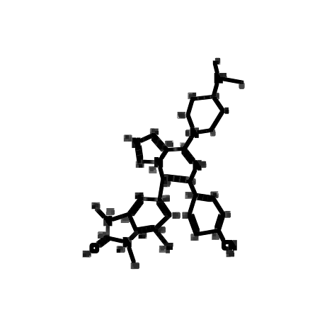 CN(C)C1CCN(c2nc(-c3ccc(C#N)cc3)c(-c3cc(F)c4c(c3)n(C)c(=O)n4C)n3cncc23)CC1